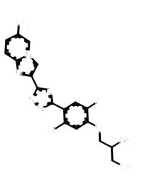 NC(CO)COc1cc(Cl)c(-c2nnc(-c3cn4cc(C(F)(F)F)ccc4n3)s2)cc1F